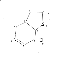 C1=CC2CN=CCC2S1.Cl